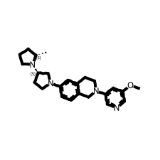 COc1cncc(N2CCc3cc(N4CC[C@H](N5CCC[C@@H]5C)C4)ccc3C2)c1